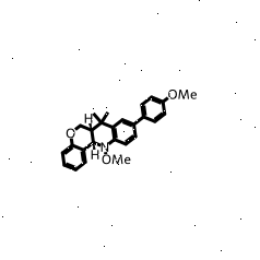 COc1ccc(-c2ccc3c(c2)C(C)(C)[C@H]2COc4ccccc4[C@H]2N3OC)cc1